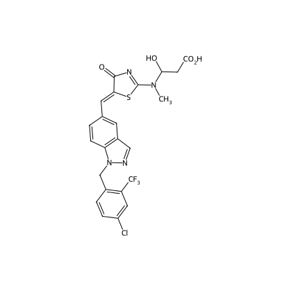 CN(C1=NC(=O)C(=Cc2ccc3c(cnn3Cc3ccc(Cl)cc3C(F)(F)F)c2)S1)C(O)CC(=O)O